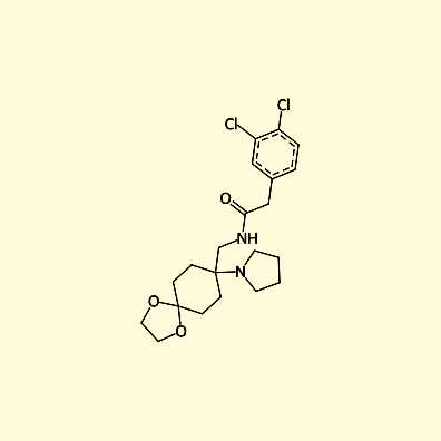 O=C(Cc1ccc(Cl)c(Cl)c1)NCC1(N2CCCC2)CCC2(CC1)OCCO2